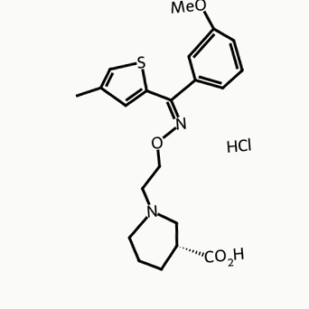 COc1cccc(/C(=N/OCCN2CCC[C@@H](C(=O)O)C2)c2cc(C)cs2)c1.Cl